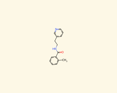 Cc1ccccc1C(=O)NCCc1cccnc1